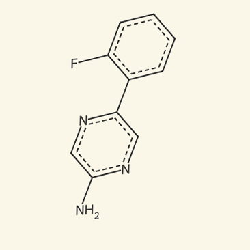 Nc1cnc(-c2ccccc2F)cn1